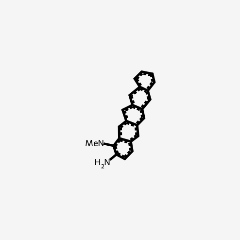 CNc1c(N)ccc2cc3cc4cc5ccccc5cc4cc3cc12